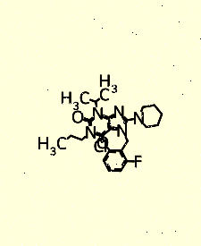 CCCn1c(=O)c2c(nc(N3CCCCC3)n2Cc2c(F)cccc2Cl)n(C(C)C)c1=O